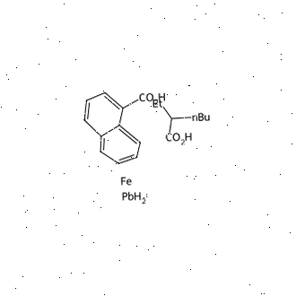 CCCCC(CC)C(=O)O.O=C(O)c1cccc2ccccc12.[Fe].[PbH2]